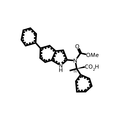 COC(=O)N(c1cc2cc(-c3ccccc3)ccc2[nH]1)[C@](C)(C(=O)O)c1ccccc1